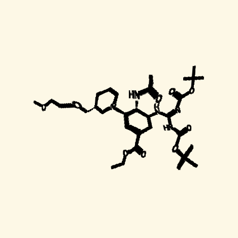 CCOC(=O)C1=C[C@@H](N2CCC[C@@H](COCCOC)C2)[C@H](NC(C)=O)[C@@H](N/C(=N\C(=O)OC(C)(C)C)NC(=O)OC(C)(C)C)C1